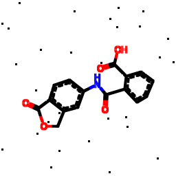 O=C1OCc2cc(NC(=O)c3ccccc3C(=O)O)ccc21